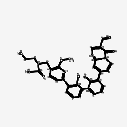 COc1nc(-c2cccc(-c3cccc(-c4ccn5c(=O)c(C=O)cnc5c4)c3Cl)c2Cl)ccc1CN(CCO)C(=O)O